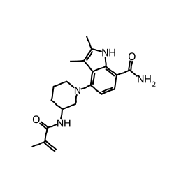 C=C(C)C(=O)NC1CCCN(c2ccc(C(N)=O)c3[nH]c(C)c(C)c23)C1